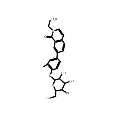 Cc1cc(-c2ccc3ccn(CC(=O)O)c(=O)c3c2)ccc1OC1OC(CO)C(O)C(O)C1O